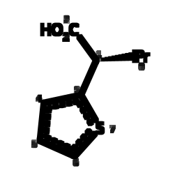 CC(C)[C@@H](C(=O)O)c1cccs1